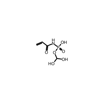 C=CC(=O)NP(=O)(O)OC(O)O